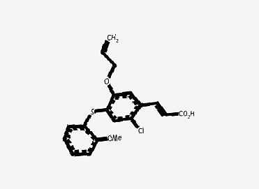 C=CCOc1cc(C=CC(=O)O)c(Cl)cc1Sc1ccccc1OC